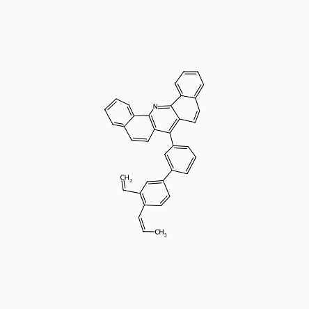 C=Cc1cc(-c2cccc(-c3c4ccc5ccccc5c4nc4c3ccc3ccccc34)c2)ccc1/C=C\C